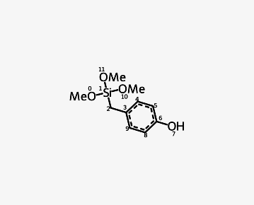 CO[Si](Cc1ccc(O)cc1)(OC)OC